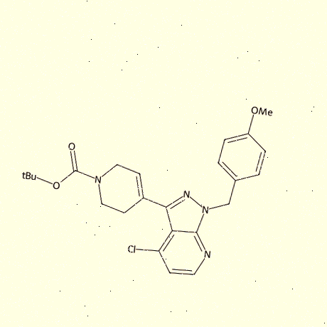 COc1ccc(Cn2nc(C3=CCN(C(=O)OC(C)(C)C)CC3)c3c(Cl)ccnc32)cc1